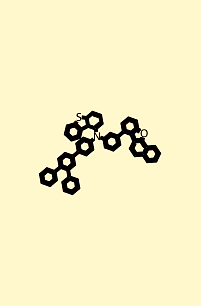 C1=CC2Sc3ccccc3C2C(N(c2ccc(-c3ccc(-c4ccccc4)c(-c4ccccc4)c3)cc2)c2cccc(-c3cccc4oc5c6ccccc6ccc5c34)c2)=C1